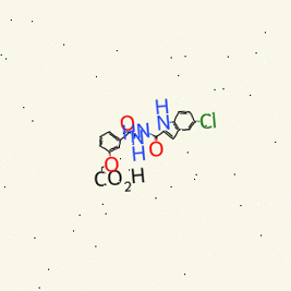 O=C(O)COc1cccc(C(=O)NNC(=O)c2cc3cc(Cl)ccc3[nH]2)c1